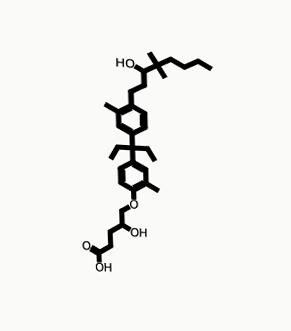 CCCCC(C)(C)C(O)CCc1ccc(C(CC)(CC)c2ccc(OCC(O)CCC(=O)O)c(C)c2)cc1C